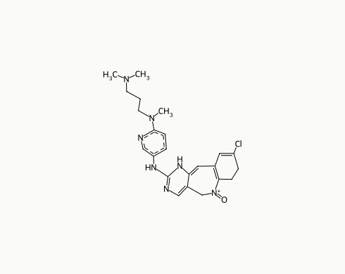 CN(C)CCCN(C)c1ccc(NC2=NC=C3C[N+](=O)C4=C(C=C(Cl)CC4)C=C3N2)cn1